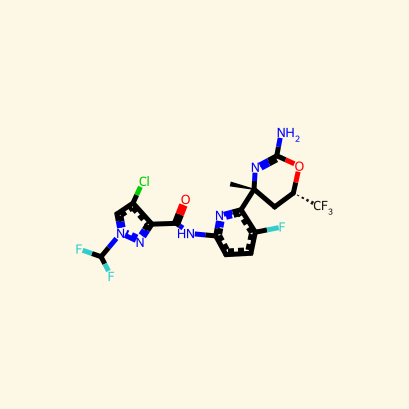 C[C@]1(c2nc(NC(=O)c3nn(C(F)F)cc3Cl)ccc2F)C[C@@H](C(F)(F)F)OC(N)=N1